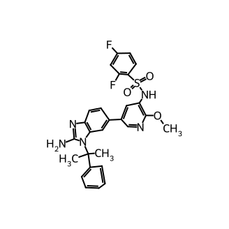 COc1ncc(-c2ccc3nc(N)n(C(C)(C)c4ccccc4)c3c2)cc1NS(=O)(=O)c1ccc(F)cc1F